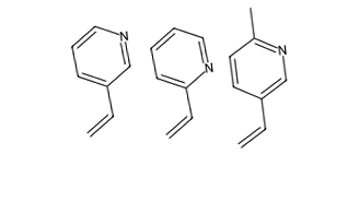 C=Cc1ccc(C)nc1.C=Cc1ccccn1.C=Cc1cccnc1